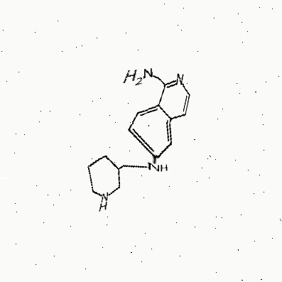 Nc1nccc2cc(NC3CCCNC3)ccc12